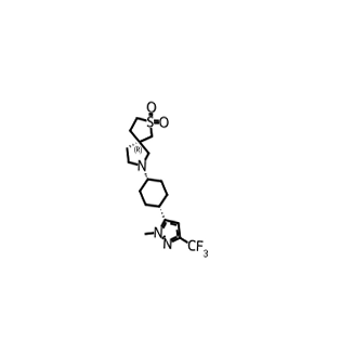 Cn1nc(C(F)(F)F)cc1[C@H]1CC[C@@H](N2CC[C@@]3(CCS(=O)(=O)C3)C2)CC1